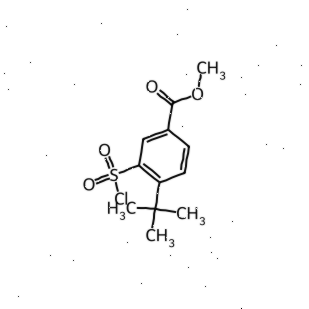 COC(=O)c1ccc(C(C)(C)C)c(S(=O)(=O)Cl)c1